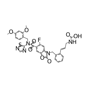 COc1ccc(CN(c2ncns2)S(=O)(=O)c2cc3oc(=O)n(Cc4ccccc4C=CCNC(=O)O)c3cc2F)c(OC)c1